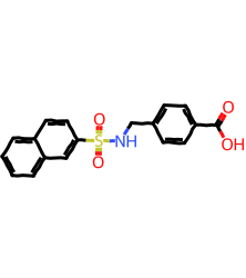 O=C(O)c1ccc(CNS(=O)(=O)c2ccc3ccccc3c2)cc1